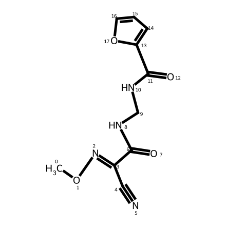 CON=C(C#N)C(=O)NCNC(=O)c1ccco1